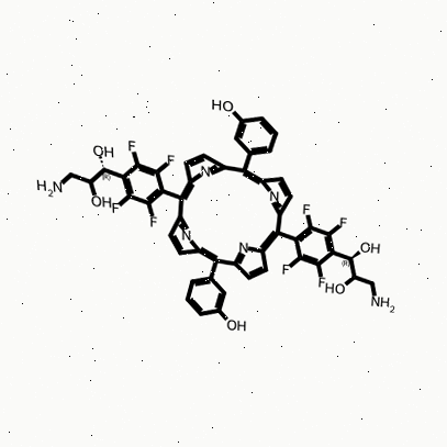 NCC(O)[C@H](O)c1c(F)c(F)c(C2=C3C=CC(=N3)C(c3cccc(O)c3)=C3C=CC(=N3)C(c3c(F)c(F)c([C@@H](O)C(O)CN)c(F)c3F)=C3C=CC(=N3)C(c3cccc(O)c3)=C3C=CC2=N3)c(F)c1F